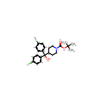 CC(C)(C)OC(=O)N1CCC(C(O)(c2ccc(F)cc2)c2ccc(F)cc2)CC1